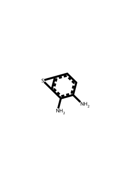 Nc1ccc2c(c1N)S2